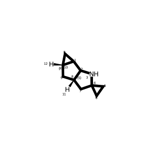 C1C2C3NC4(CC4)C[C@@H]3C[C@H]12